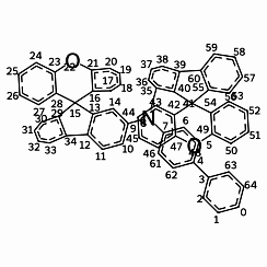 c1ccc(-c2ccc(N(c3ccc4c(c3)C3(c5ccccc5Oc5ccccc53)c3ccccc3-4)c3cccc4c3C3(c5ccccc5Oc5ccccc53)c3ccccc3-4)cc2)cc1